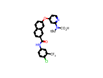 CC(C)(C)N(C(=O)O)c1cc(Oc2ccc3ccc(C(=O)Nc4ccc(Cl)c(C(F)(F)F)c4)cc3c2)ccn1